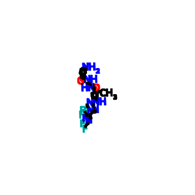 CCc1cc(Nc2nccn3c(-c4cn(CC(F)F)nc4C(F)(F)F)cnc23)ccc1C(=O)NCCNC(=O)[C@@H]1CC[C@@H](N)C1